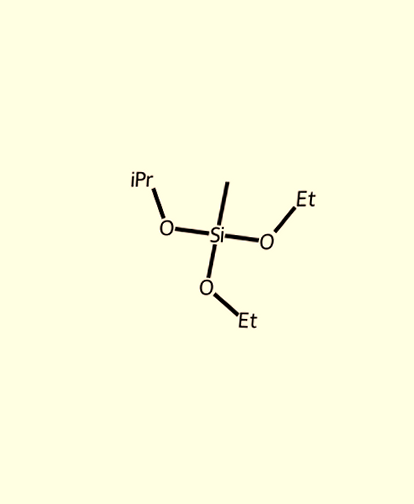 CCO[Si](C)(OCC)OC(C)C